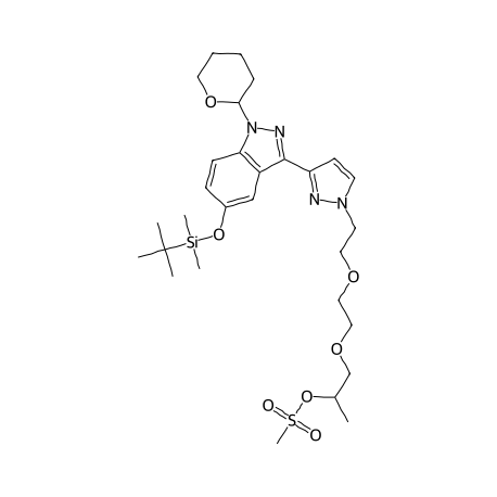 CC(COCCOCCn1ccc(-c2nn(C3CCCCO3)c3ccc(O[Si](C)(C)C(C)(C)C)cc23)n1)OS(C)(=O)=O